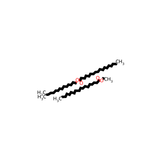 CCCCCCCCCCCCCCCCCC(=O)OCC.CCCCCCCCCCCCCCCCCC(=O)OCCCCCCCCCCCCCC(C)C